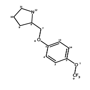 FC(F)(F)Oc1ccc(OCC2CCC[N]2)cc1